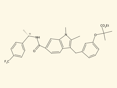 CCOC(=O)C(C)(C)Oc1cccc(Cc2c(C)n(C)c3cc(C(=O)N[C@@H](C)c4ccc(C(F)(F)F)cc4)ccc23)c1